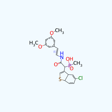 COc1cc(/C=C/NC(=O)C(C2=CSC3C=CC(Cl)=CC23)P(C)(=O)O)cc(OC)c1